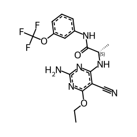 CCOc1nc(N)nc(N[C@@H](C)C(=O)Nc2cccc(OC(F)(F)F)c2)c1C#N